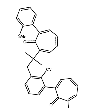 CSc1ccccc1-c1ccccc(C(C)(C)Cc2cccc(-c3ccccc(C(C)(C)C)c3=O)c2C#N)c1=O